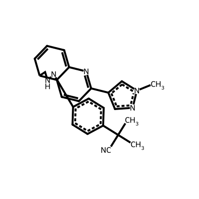 Cn1cc(C2=NC3=CC=CC4CNN(c5ccc(C(C)(C)C#N)cc5)C34C=C2)cn1